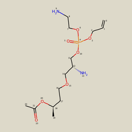 C=CCOP(=O)(OCCN)OC[C@H](N)COCC[C@@H](C)OC(C)=O